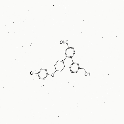 O=Cc1ccc(-c2cccc(CO)c2)c(N2CCC(Oc3ccc(Cl)cc3)CC2)c1